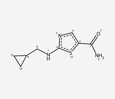 NC(=O)c1cnc(NCC2CC2)s1